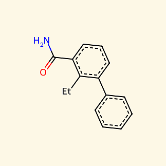 CCc1c(C(N)=O)cccc1-c1ccccc1